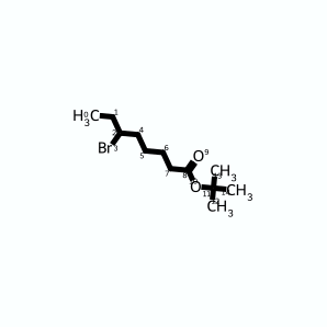 CCC(Br)CCCCC(=O)OC(C)(C)C